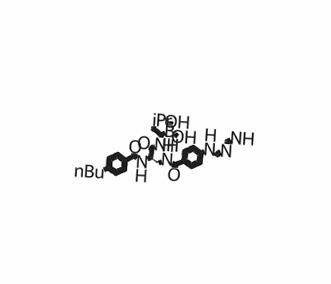 CCCCc1ccc(C(=O)N[C@@H](CNC(=O)c2ccc(N/C=N\C=N)cc2)C(=O)NC(CC(C)C)B(O)O)cc1